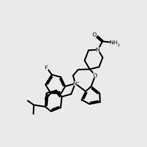 CC(C)c1ccc(C[N+]2(c3cc(F)cc(F)c3)CCC3(CCN(C(N)=O)CC3)Oc3ccccc32)cc1